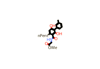 CCCCCc1cc(O)c(-c2cccc(C)c2)c(O)c1C(=O)NCC(=O)OC